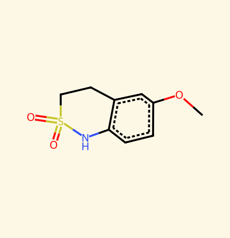 COc1ccc2c(c1)CCS(=O)(=O)N2